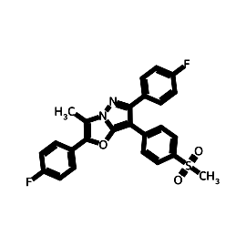 Cc1c(-c2ccc(F)cc2)oc2c(-c3ccc(S(C)(=O)=O)cc3)c(-c3ccc(F)cc3)nn12